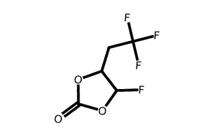 O=C1OC(F)C(CC(F)(F)F)O1